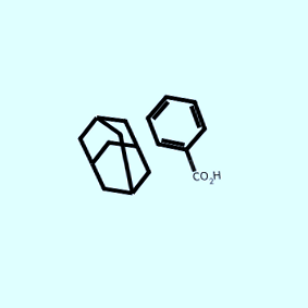 C1C2CC3CC1CC(C2)C3.O=C(O)c1ccccc1